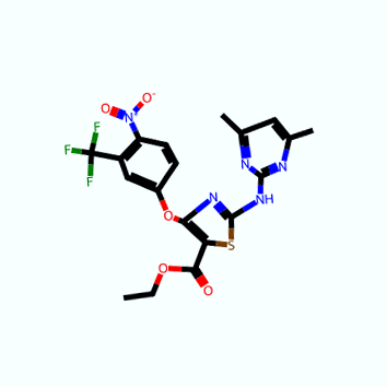 CCOC(=O)c1sc(Nc2nc(C)cc(C)n2)nc1Oc1ccc([N+](=O)[O-])c(C(F)(F)F)c1